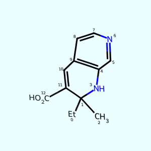 CCC1(C)Nc2cnccc2C=C1C(=O)O